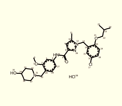 COc1cc(NC(=O)c2cc(C)n(Cc3cc(Cl)ccc3OCC(C)C)n2)ccc1CN1CCC(O)CC1.Cl